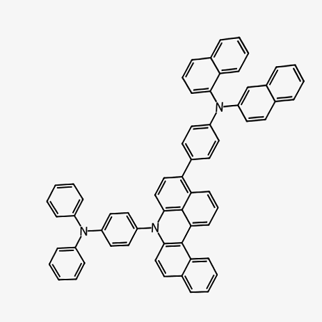 c1ccc(N(c2ccccc2)c2ccc(N3c4ccc5ccccc5c4-c4cccc5c(-c6ccc(N(c7ccc8ccccc8c7)c7cccc8ccccc78)cc6)ccc3c45)cc2)cc1